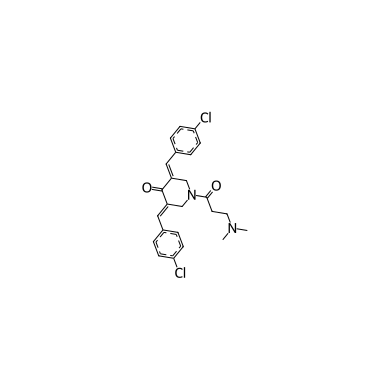 CN(C)CCC(=O)N1C/C(=C\c2ccc(Cl)cc2)C(=O)/C(=C/c2ccc(Cl)cc2)C1